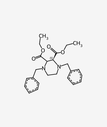 CCOC(=O)C1[C@@H](C(=O)OCC)N(Cc2ccccc2)CCN1Cc1ccccc1